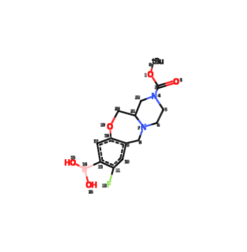 CC(C)(C)OC(=O)N1CCN2Cc3cc(F)c(B(O)O)cc3OCC2C1